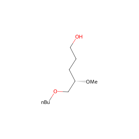 CCCCOC[C@H](CCCO)OC